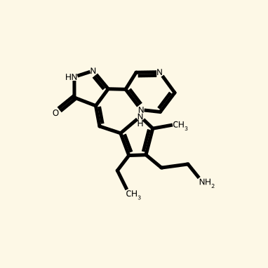 CCc1c(/C=C2/C(=O)NN=C2c2cnccn2)[nH]c(C)c1CCN